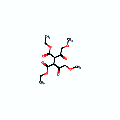 CCOC(=O)C(C(=O)COC)C(C(=O)COC)C(=O)OCC